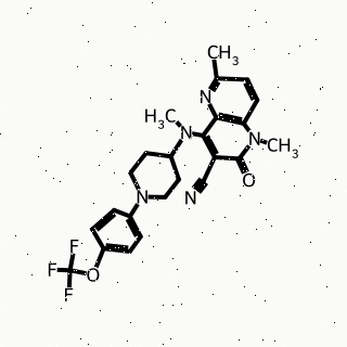 Cc1ccc2c(n1)c(N(C)C1CCN(c3ccc(OC(F)(F)F)cc3)CC1)c(C#N)c(=O)n2C